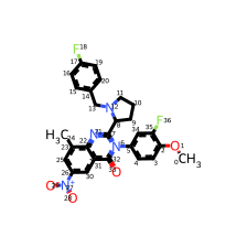 COc1ccc(-n2c(C3CCCN3Cc3ccc(F)cc3)nc3c(C)cc([N+](=O)[O-])cc3c2=O)cc1F